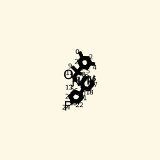 Cc1cc(C)cc(C(C)(C)C(=O)N(C)c2cnccc2-c2ccc(F)cc2)c1